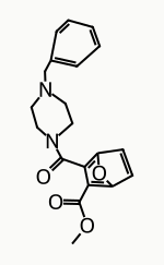 COC(=O)c1c(C(=O)N2CCN(Cc3ccccc3)CC2)c2ccc1o2